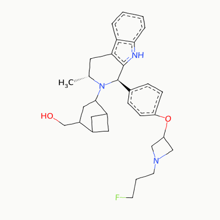 C[C@@H]1Cc2c([nH]c3ccccc23)[C@@H](c2ccc(OC3CN(CCCF)C3)cc2)N1C1CC(CO)C2CC1C2